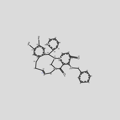 O=C1c2c(OCc3ccccc3)c(=O)ccn2N2CN1C/C=C/CCc1cc(F)c(F)cc1C2c1ccccn1